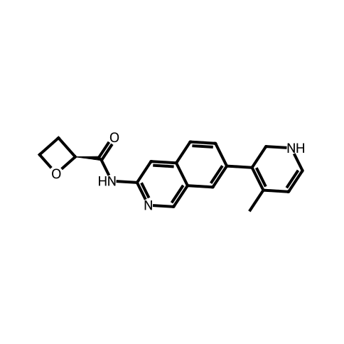 CC1=C(c2ccc3cc(NC(=O)[C@@H]4CCO4)ncc3c2)CNC=C1